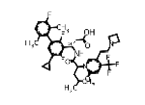 Cc1ccc(F)c(C)c1-c1cc(C2CC2)c(F)c([C@H](CC(=O)O)NC(=O)C(CC(C)C)n2cc(CCN3CCC3)c(C(F)(F)F)cc2=O)c1F